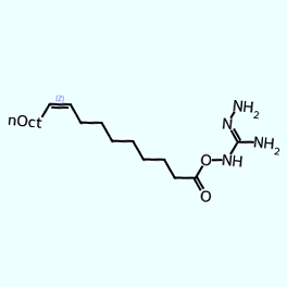 CCCCCCCC/C=C\CCCCCCCC(=O)ONC(N)=NN